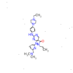 C=CCn1c(=O)c2cnc(Nc3ccc(N4CCN(CC)CC4)cc3)nc2n1-c1cccc(CN(C)C)n1